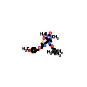 COc1ccc(COCc2csc(-c3c4c(=O)n(C)c(=O)n(C)c4cn3COCC[Si](C)(C)C)n2)cc1